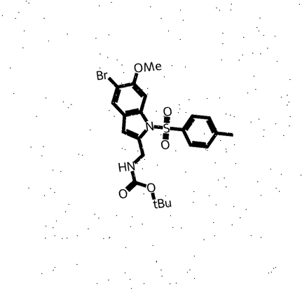 COc1cc2c(cc1Br)cc(CNC(=O)OC(C)(C)C)n2S(=O)(=O)c1ccc(C)cc1